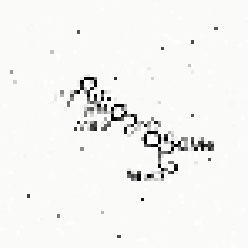 COC(=O)CC(CC(=O)OC)c1ccc2c(c1)CCN2C(=O)Cc1ccc(NC(=O)Nc2ccccc2C)c(OC)c1